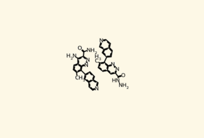 Cc1ccc2c(N)c(C(N)=O)nnc2c1-c1ccc2cnccc2c1.Cc1ccc2cc(C(=O)NN)nnc2c1-c1ccc2ccncc2c1